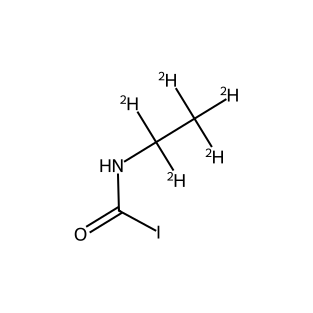 [2H]C([2H])([2H])C([2H])([2H])NC(=O)I